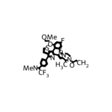 C=CC(=O)N1CCn2nc(-c3nc(-c4ccc(C(NC)C(F)(F)F)cc4)c4ccsc4c3-c3c(F)cc(F)cc3OCCOC)cc2C1C